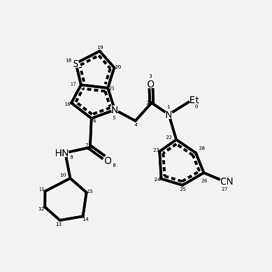 CCN(C(=O)Cn1c(C(=O)NC2CCCCC2)cc2sccc21)c1cccc(C#N)c1